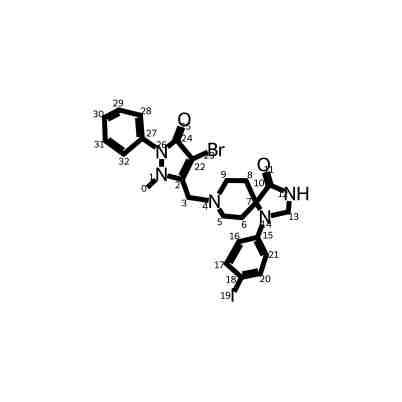 Cn1c(CN2CCC3(CC2)C(=O)NCN3c2ccc(I)cc2)c(Br)c(=O)n1-c1ccccc1